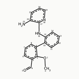 COc1c(C=O)cccc1-c1ccccc1Nc1ncccc1N